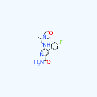 CC(CNc1cnc(C(N)=O)cc1-c1ccc(F)cc1)N1CCOCC1